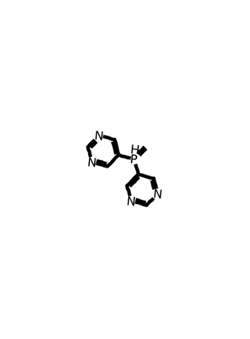 C=[PH](c1cncnc1)c1cncnc1